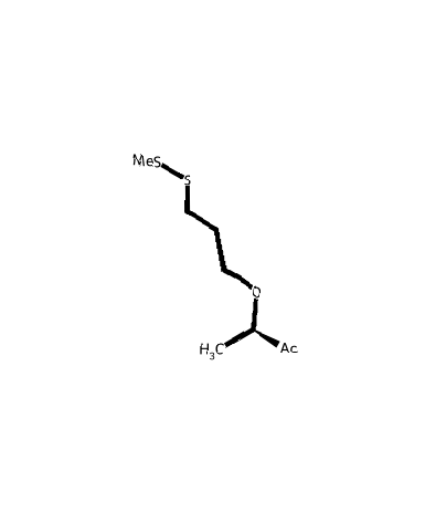 CSSCCCO[C@H](C)C(C)=O